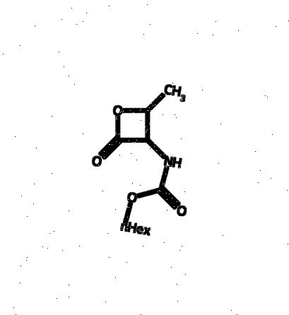 CCCCCCOC(=O)NC1C(=O)OC1C